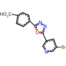 O=C(O)c1ccc(-c2nnc(-c3cncc(Br)c3)o2)cc1